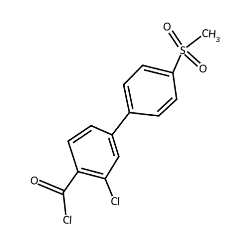 CS(=O)(=O)c1ccc(-c2ccc(C(=O)Cl)c(Cl)c2)cc1